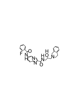 O=C(NCC(O)CN1CCc2ccccc2C1)c1cn2cc(NC(=O)c3ccccc3F)ccc2n1